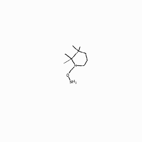 CC1(C)CCCN(ON)C1(C)C